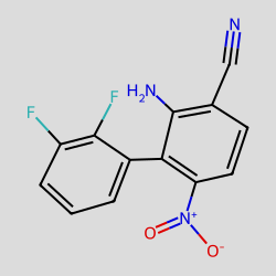 N#Cc1ccc([N+](=O)[O-])c(-c2cccc(F)c2F)c1N